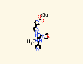 Cn1c(-c2ccncc2)nc2c(N3CCOCC3)nc(-n3ccc(C4CCN(C(=O)OC(C)(C)C)C4)n3)nc21